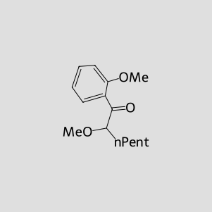 CCCCCC(OC)C(=O)c1ccccc1OC